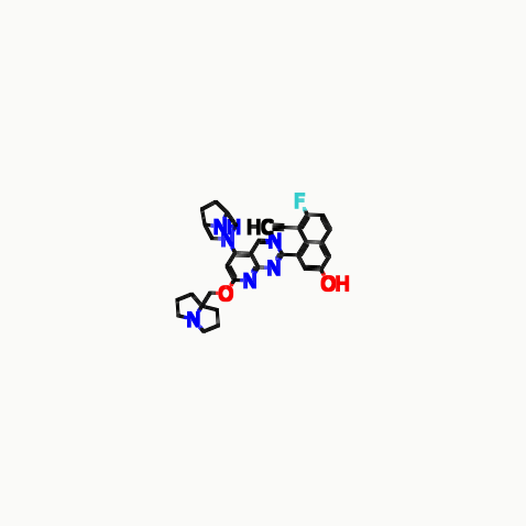 C#Cc1c(F)ccc2cc(O)cc(-c3ncc4c(N5CC6CCC(C5)N6)cc(OCC56CCCN5CCC6)nc4n3)c12